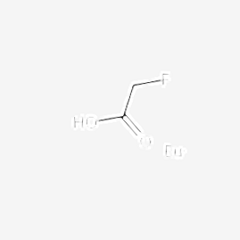 O=C(O)CF.[Eu]